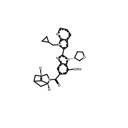 COc1cc(C(=O)N2C[C@H]3CC4C[C@@H]2[C@H]43)cc2nc(-c3cc4cccnc4n3CC3CC3)n([C@@H]3CCOC3)c12